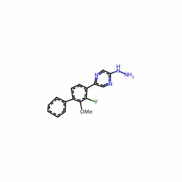 COc1c(-c2ccccc2)ccc(-c2cnc(NN)cn2)c1F